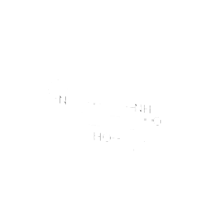 O=c1[nH]cc(-c2ccc(CN3CCCC3)cc2)c2c(O)cccc12